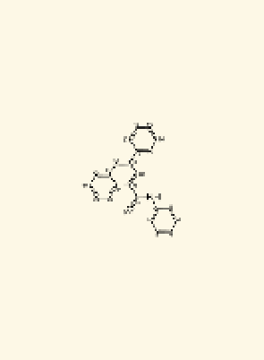 O=C(Nc1ccccc1)c1cc(-c2ccccc2)cc2ccccc12